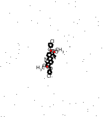 COC(=O)c1cnc2c3ccc(C(=O)Oc4ccc(Cl)cc4)c4c(C(=O)OC)cnc(c5ccc(C(=O)Oc6ccc(Cl)cc6)c1c52)c43